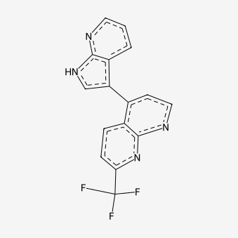 FC(F)(F)c1ccc2c(-c3c[nH]c4ncccc34)ccnc2n1